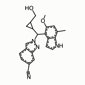 COc1cc(C)c2[nH]ccc2c1C(C1CC1CO)n1cc2ccc(C#N)cc2n1